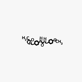 COc1ccc(CNC(=O)Nc2ccc(CN3CC[C@@H](C)C3=O)cc2)cc1